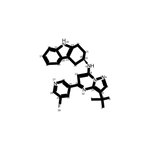 CC(C)(C)c1cnn2c(N[C@@H]3CCc4[nH]c5ccccc5c4C3)cc(-c3cncc(F)c3)nc12